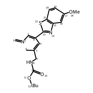 C=N/C=C(\C=C(/C)CNC(=O)OC(C)(C)C)c1nc2cc(OC)ccc2s1